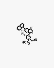 Cc1cccc2cccc(N3CCc4c(ncnc4N4CCN(C(=O)O)C(CC#N)C4)C3)c12